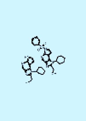 O=S(=O)(c1ccccc1)n1ccc2c1ncc1nc(CO)n(C3CCCCC3)c12.OCc1nc2cnc3[nH]ccc3c2n1C1CCCCC1